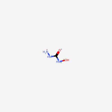 NNC(=O)NO